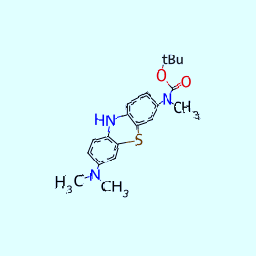 CN(C)c1ccc2c(c1)Sc1cc(N(C)C(=O)OC(C)(C)C)ccc1N2